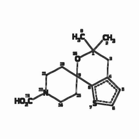 CC1(C)Cc2ccsc2C2(CCN(C(=O)O)CC2)O1